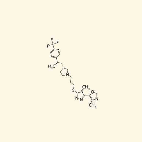 Cc1ncoc1-c1nnc(SCCCN2CC[C@H](C[C@@H](C)c3ccc(C(F)(F)F)cc3)C2)n1C